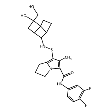 Cc1c(SNC2C3CCC34C2CC4(O)CO)c2n(c1C(=O)Nc1ccc(F)c(F)c1)CCC2